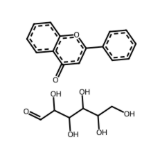 O=CC(O)C(O)C(O)C(O)CO.O=c1cc(-c2ccccc2)oc2ccccc12